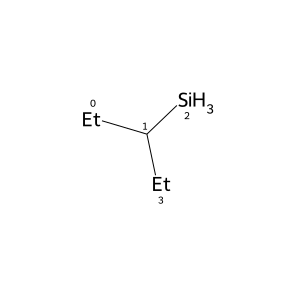 CCC([SiH3])CC